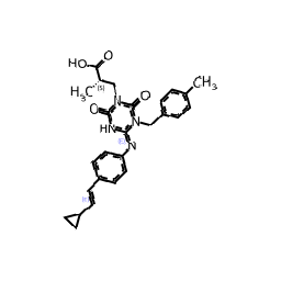 Cc1ccc(Cn2c(=O)n(C[C@H](C)C(=O)O)c(=O)[nH]/c2=N\c2ccc(/C=C/C3CC3)cc2)cc1